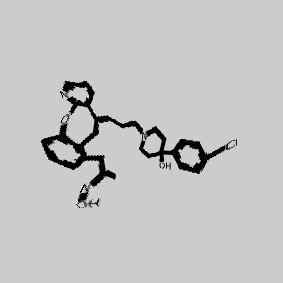 CC(Cc1cccc2c1CC(=CCCN1CCC(O)(c3ccc(Cl)cc3)CC1)c1cccnc1O2)=NO